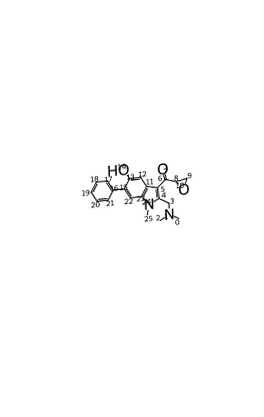 CN(C)Cc1c(C(=O)C2CO2)c2cc(O)c(-c3ccccc3)cc2n1C